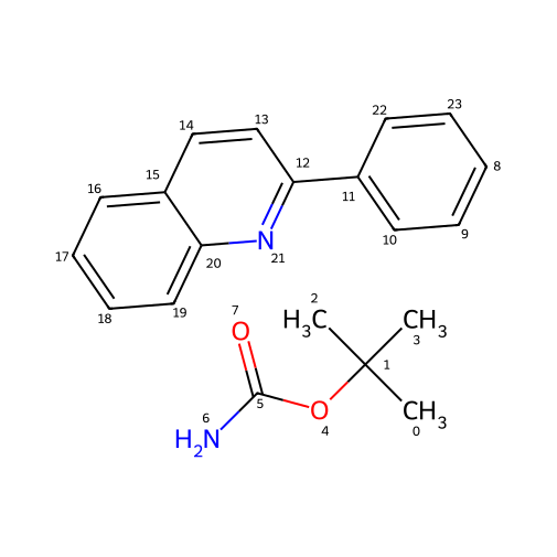 CC(C)(C)OC(N)=O.c1ccc(-c2ccc3ccccc3n2)cc1